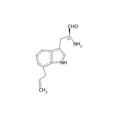 C=CCc1cccc2c(C[C@H](N)[C]=O)c[nH]c12